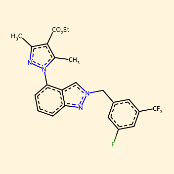 CCOC(=O)c1c(C)nn(-c2cccc3nn(Cc4cc(F)cc(C(F)(F)F)c4)cc23)c1C